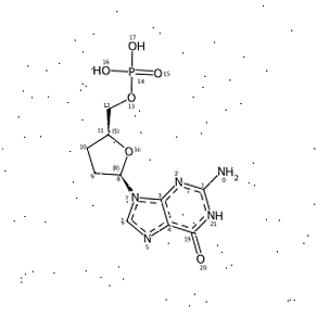 Nc1nc2c(ncn2[C@H]2CC[C@@H](COP(=O)(O)O)O2)c(=O)[nH]1